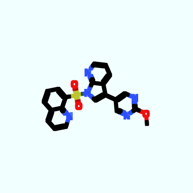 COc1ncc(-c2cn(S(=O)(=O)c3cccc4cccnc34)c3ncccc23)cn1